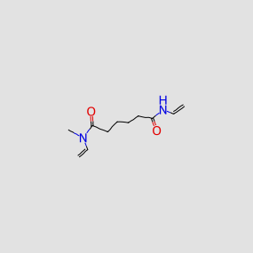 C=CNC(=O)CCCCC(=O)N(C)C=C